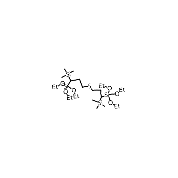 CCO[Si](OCC)(OCC)C(CCSCCC([Si](C)(C)C)[Si](OCC)(OCC)OCC)[Si](C)(C)C